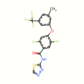 Cc1cc(Oc2cc(F)c(C(=O)Nc3nncs3)cc2F)cc(C(F)(F)F)c1